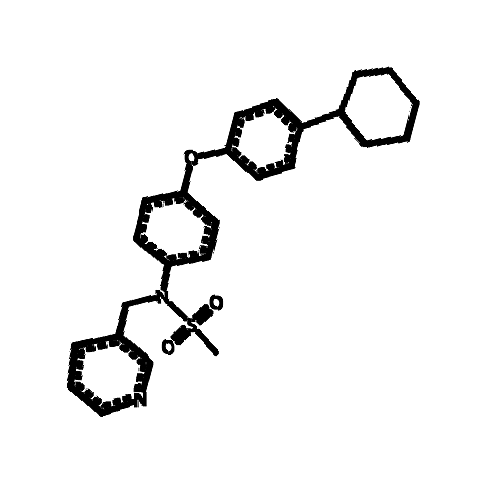 CS(=O)(=O)N(Cc1cccnc1)c1ccc(Oc2ccc(C3CCCCC3)cc2)cc1